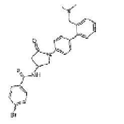 CN(C)Cc1ccccc1-c1ccc(N2CC(NC(=O)c3ccc(Br)cc3)CC2=O)cc1